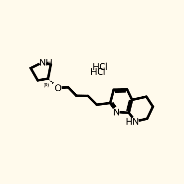 Cl.Cl.c1cc2c(nc1CCCCO[C@@H]1CCNC1)NCCC2